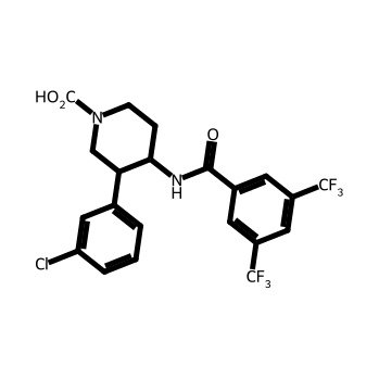 O=C(NC1CCN(C(=O)O)CC1c1cccc(Cl)c1)c1cc(C(F)(F)F)cc(C(F)(F)F)c1